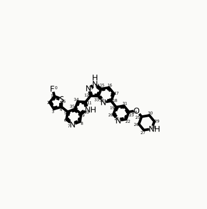 Fc1ccc(-c2cncc3[nH]c(-c4n[nH]c5ccc(-c6cncc(OC7CCNCC7)c6)nc45)cc23)s1